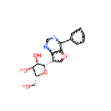 OC[C@H]1O[C@@H](c2coc3c(-c4ccccc4)ncnc23)[C@H](O)[C@@H]1O